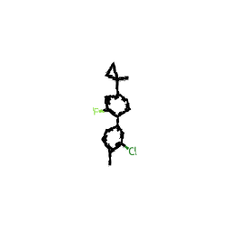 Cc1ccc(-c2ccc(C3(C)CC3)cc2F)cc1Cl